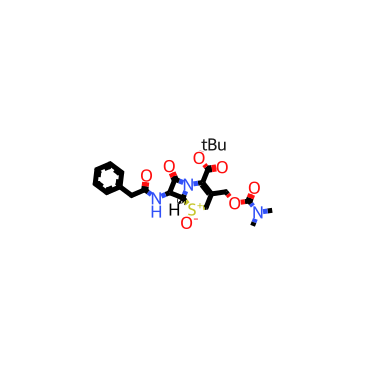 CN(C)C(=O)OCC1=C(C(=O)OC(C)(C)C)N2C(=O)C(NC(=O)Cc3ccccc3)[C@@H]2[S+]([O-])C1